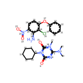 CN(C)c1nc(=O)n(C2CCCCC2)c(=O)n1C.Nc1c([N+](=O)[O-])ccc(Oc2ccccc2)c1Cl